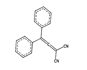 N#CC(=C=C(c1ccccc1)c1ccccc1)C#N